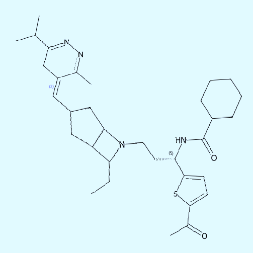 CCC1C2CC(/C=C3/CC(C(C)C)=NN=C3C)CC2N1CC[C@H](NC(=O)C1CCCCC1)c1ccc(C(C)=O)s1